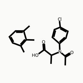 CC(=O)N(c1ccc(Cl)cc1)C(C)C(=O)O.Cc1cccc(C)c1C